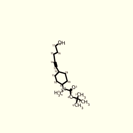 CN(C(=O)OC(C)(C)C)C1CCC(C#CCCCO)CC1